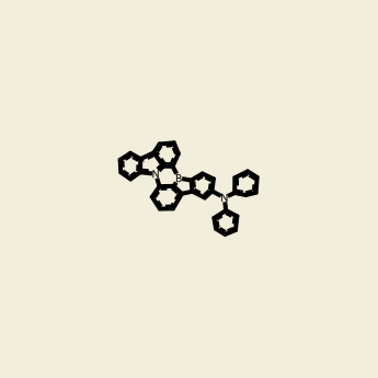 c1ccc(N(c2ccccc2)c2ccc3c(c2)-c2cccc4c2B3c2cccc3c5ccccc5n-4c23)cc1